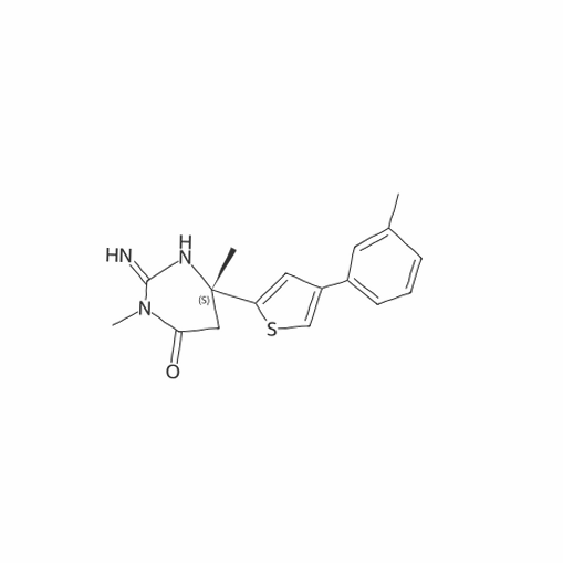 Cc1cccc(-c2csc([C@]3(C)CC(=O)N(C)C(=N)N3)c2)c1